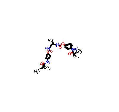 C=C(C)C(=O)Nc1ccc(OC(=O)NCCC(C)CNC(=O)Oc2ccc(NC(=O)C(=C)C)cc2)cc1